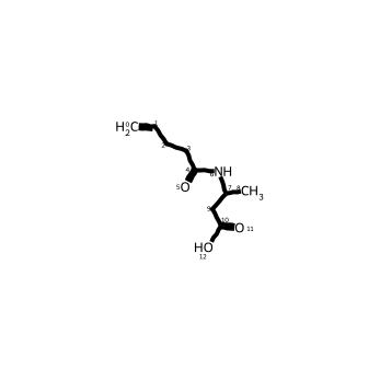 C=CCCC(=O)NC(C)CC(=O)O